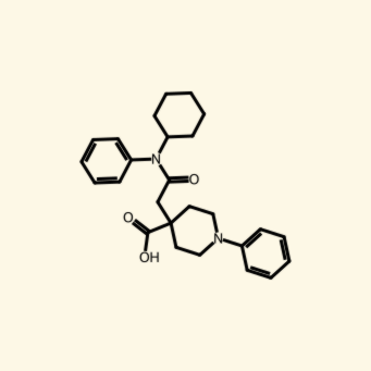 O=C(CC1(C(=O)O)CCN(c2ccccc2)CC1)N(c1ccccc1)C1CCCCC1